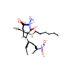 C/C=C(\C=C(/C)[N+](=O)[O-])[C@H]1C[C@@H]2C(=O)N(N)C(=O)[C@@]21SCCCCCC